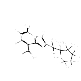 [2H]c1c(C)c([2H])n2c([2H])c(C([2H])([2H])[C@@]3([2H])N([2H])C([2H])([2H])C([2H])([2H])C([2H])([2H])C3([2H])[2H])nc2c1C([2H])[2H]